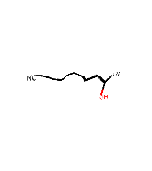 N#CCCCCCC(O)C#N